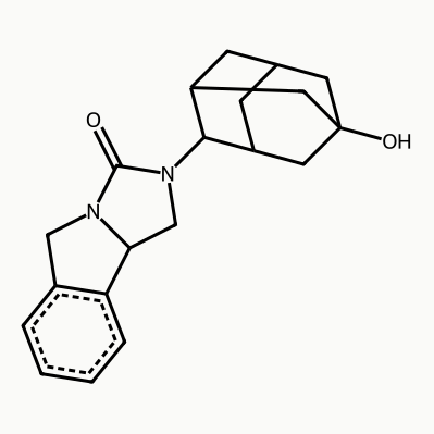 O=C1N2Cc3ccccc3C2CN1C1C2CC3CC1CC(O)(C3)C2